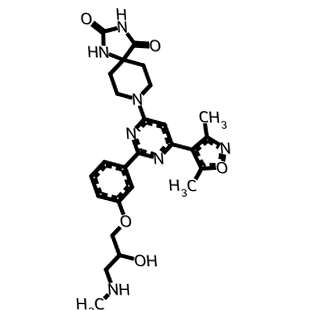 CNCC(O)COc1cccc(-c2nc(-c3c(C)noc3C)cc(N3CCC4(CC3)NC(=O)NC4=O)n2)c1